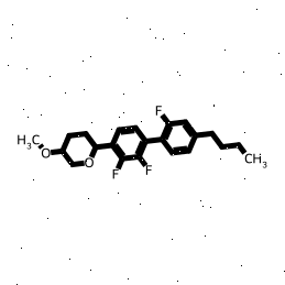 CCCCc1ccc(-c2ccc(C3CCC(OC)CO3)c(F)c2F)c(F)c1